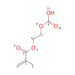 C=C(C)C(=O)OCCOC(=O)O